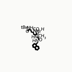 CC(NC(=O)CC(CCC(=O)NC(C)(C)C)NC(=O)O)C(=O)NCc1cccc2ccccc12